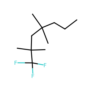 CCCC(C)(C)CC(C)(C)C(F)(F)F